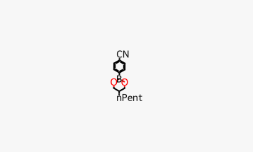 CCCCCC1COB(c2ccc(C#N)cc2)OC1